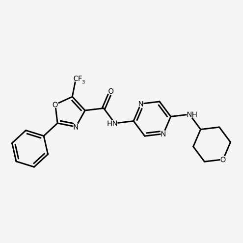 O=C(Nc1cnc(NC2CCOCC2)cn1)c1nc(-c2ccccc2)oc1C(F)(F)F